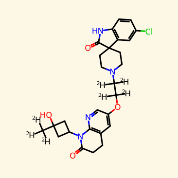 [2H]C([2H])([2H])C1(O)CC(N2C(=O)CCc3cc(OC([2H])([2H])C([2H])([2H])N4CCC5(CC4)C(=O)Nc4ccc(Cl)cc45)cnc32)C1